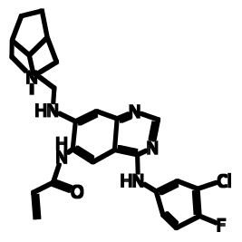 C=CC(=O)Nc1cc2c(Nc3ccc(F)c(Cl)c3)ncnc2cc1NCCC1C2CCC1CN(C)C2